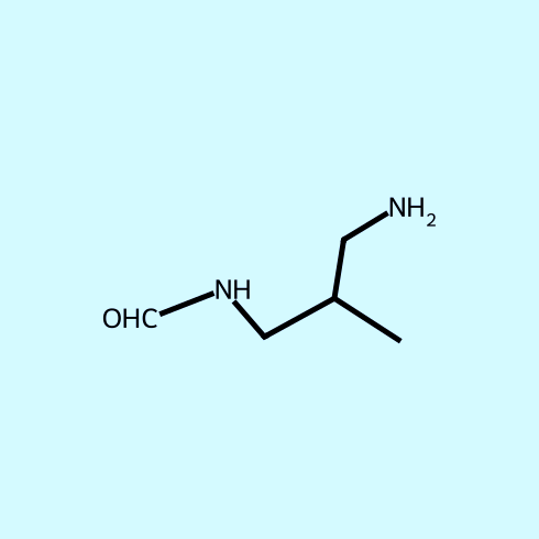 CC(CN)CNC=O